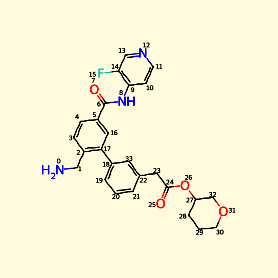 NCc1ccc(C(=O)Nc2ccncc2F)cc1-c1cccc(CC(=O)OC2CCCOC2)c1